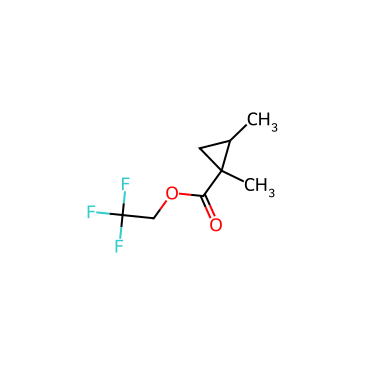 CC1CC1(C)C(=O)OCC(F)(F)F